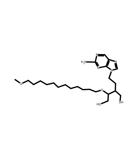 COCCCCCCCCCCCCOC(CO)C(CO)CCn1cnc2cnc(N)nc21